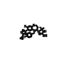 CC(C)(C[C@H]1CSc2cc(F)c(-c3nc(C4CC4)no3)cc2N(Cc2ccc(Cl)cc2)C1=O)NC(=O)O